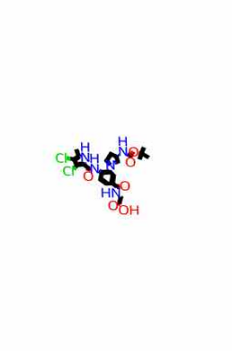 Cc1[nH]c(C(=O)Nc2ccc(C(=O)NCC(=O)O)cc2N2CC[C@@H](NC(=O)OC(C)(C)C)C2)c(Cl)c1Cl